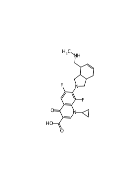 CNCC1C=CCC2CN(c3c(F)cc4c(=O)c(C(=O)O)cn(C5CC5)c4c3F)CC12